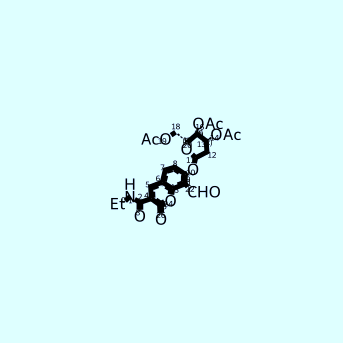 CCNC(=O)c1cc2ccc(OC3C[C@@H](OC(C)=O)[C@@H](OC(C)=O)[C@@H](COC(C)=O)O3)c(C=O)c2oc1=O